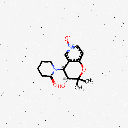 CC1(C)Oc2cc[n+]([O-])cc2[C@H](N2CCCCC2=O)[C@H]1O